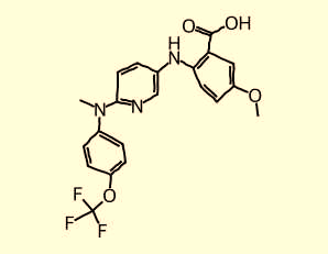 COc1ccc(Nc2ccc(N(C)c3ccc(OC(F)(F)F)cc3)nc2)c(C(=O)O)c1